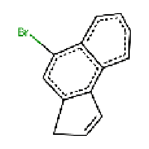 Brc1cc2c(c3ccccc13)C=CC2